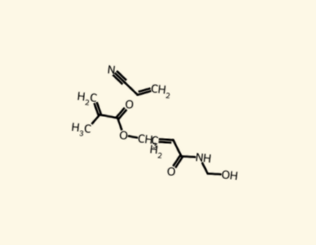 C=C(C)C(=O)OC.C=CC#N.C=CC(=O)NCO